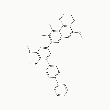 COc1cc(-c2cc3cc(OC)c(OC)c(OC)c3c(C)[n+]2C)cc(-c2ccc(-c3ccccc3)nc2)c1OC